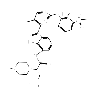 COC[C@H](C(=O)Nc1cccc2c(-c3nc(Nc4cccc(S(C)(=O)=O)c4F)ncc3F)c[nH]c12)N1CCN(C)C[C@H]1C